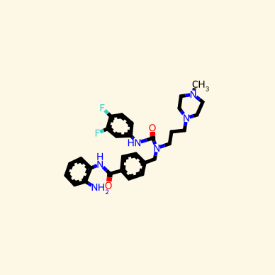 CN1CCN(CCCN(Cc2ccc(C(=O)Nc3ccccc3N)cc2)C(=O)Nc2ccc(F)c(F)c2)CC1